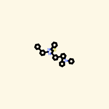 c1ccc(-c2cccc(-c3nc(-c4cccc(-c5cccc6c5c5ccccc5n6-c5ccccc5)c4)c4sc5ccccc5c4n3)c2)cc1